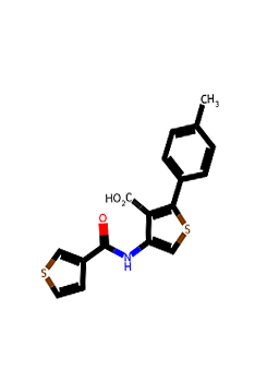 Cc1ccc(-c2scc(NC(=O)c3ccsc3)c2C(=O)O)cc1